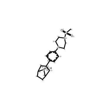 CS(=O)(=O)N1CCN(c2ccc(C3CC4CCC(C3)N4C(=O)O)cc2)CC1